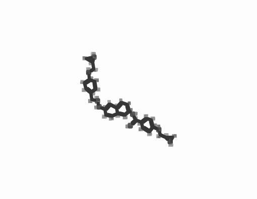 O=C(Oc1ccc2cc(OOCc3ccc(OCC4CO4)cc3)ccc2c1)c1ccc(OCC2CO2)cc1